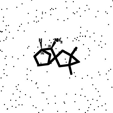 CC12CC3(CC1(C)C2)C1CC[C@H](C1)[C@H]3N